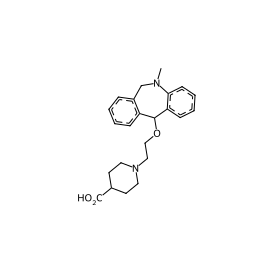 CN1Cc2ccccc2C(OCCN2CCC(C(=O)O)CC2)c2ccccc21